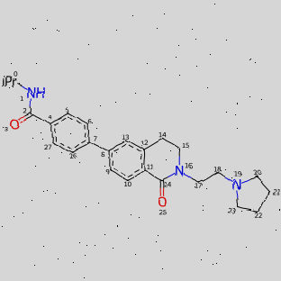 CC(C)NC(=O)c1ccc(-c2ccc3c(c2)CCN(CCN2CCCC2)C3=O)cc1